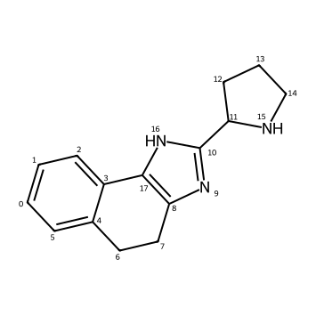 c1ccc2c(c1)CCc1nc(C3CCCN3)[nH]c1-2